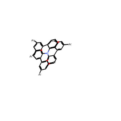 CC(=O)c1cc(C(C)=O)cc(-c2ccccc2N(c2ccccc2-c2cc(C(C)=O)cc(C(C)=O)c2)c2ccccc2-c2cc(C(C)=O)cc(C(C)=O)c2)c1